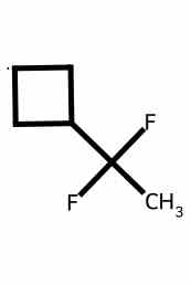 CC(F)(F)C1C[CH]C1